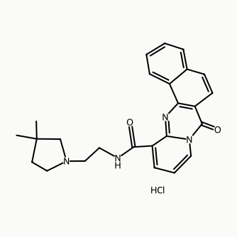 CC1(C)CCN(CCNC(=O)c2cccn3c(=O)c4ccc5ccccc5c4nc23)C1.Cl